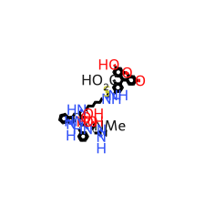 CN[C@@H](O)[C@H](Cc1ncc[nH]1)N[C@H](O)[C@H](Cc1ccccc1)NC(=O)[C@H](Cc1c[nH]c2ccccc12)N[C@H](O)CCCCCNC(=S)Nc1ccc(-c2c3ccc(=O)cc-3oc3cc(O)ccc23)c(C(=O)O)c1